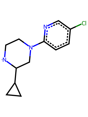 Clc1ccc(N2CC[N]C(C3CC3)C2)nc1